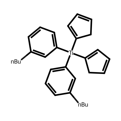 CCCCc1ccc[c]([Ti]([C]2=CC=CC2)([C]2=CC=CC2)[c]2cccc(CCCC)c2)c1